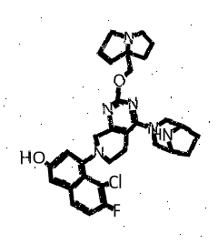 Oc1cc(N2CCc3c(nc(OCC45CCCN4CCC5)nc3N3CC4CCC(C3)N4)C2)c2c(Cl)c(F)ccc2c1